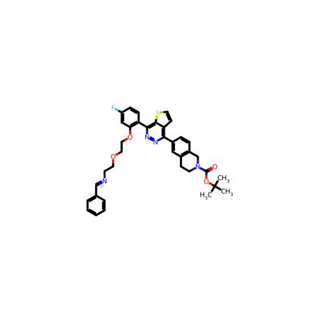 CC(C)(C)OC(=O)N1CCc2cc(-c3nnc(-c4ccc(F)cc4OCCOCC/N=C/c4ccccc4)c4sccc34)ccc2C1